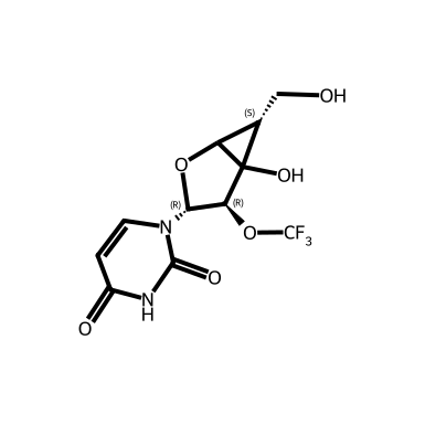 O=c1ccn([C@@H]2OC3[C@H](CO)C3(O)[C@H]2OC(F)(F)F)c(=O)[nH]1